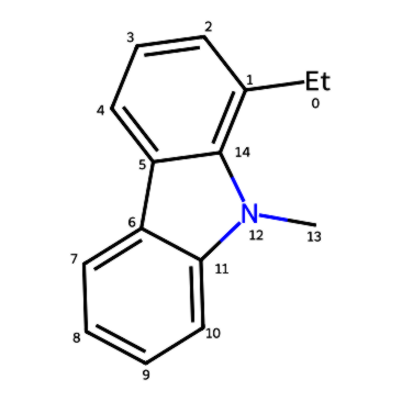 CCc1cccc2c3ccccc3n(C)c12